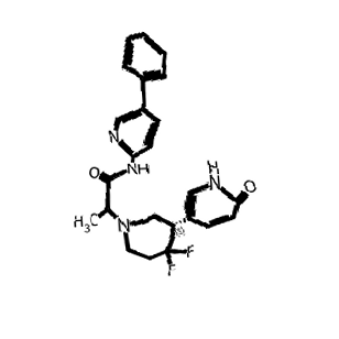 CC(C(=O)Nc1ccc(-c2ccccc2)cn1)N1CCC(F)(F)[C@@H](c2ccc(=O)[nH]c2)C1